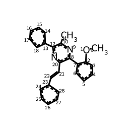 COc1ccccc1-c1nc(C)c(-c2ccccc2)nc1C=Cc1ccccc1